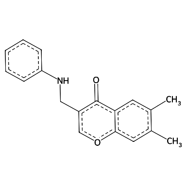 Cc1cc2occ(CNc3ccccc3)c(=O)c2cc1C